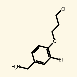 C[CH]c1cc(CN)ccc1OCCCCl